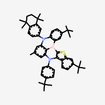 Cc1cc2c3c(c1)N(c1ccc(C(C)(C)C)cc1)c1c(sc4cc(C(C)(C)C)ccc14)B3c1cc(C(C)(C)C)ccc1N2c1ccc2c(c1)C(C)(C)CCC2(C)C